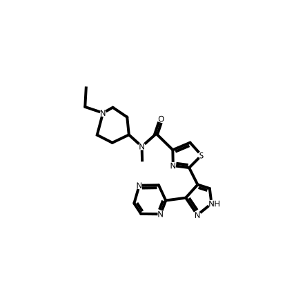 CCN1CCC(N(C)C(=O)c2csc(-c3c[nH]nc3-c3cnccn3)n2)CC1